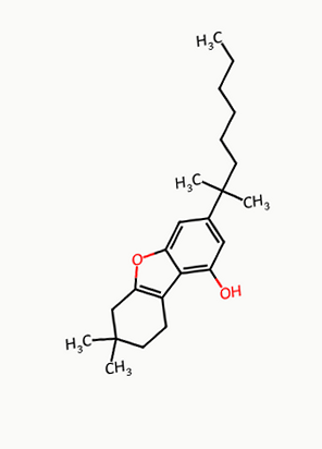 CCCCCCC(C)(C)c1cc(O)c2c3c(oc2c1)CC(C)(C)CC3